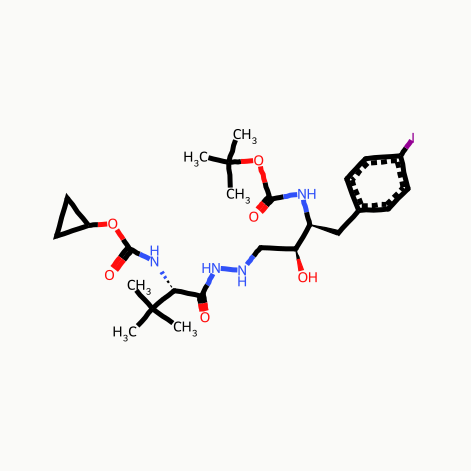 CC(C)(C)OC(=O)N[C@@H](Cc1ccc(I)cc1)[C@@H](O)CNNC(=O)[C@@H](NC(=O)OC1CC1)C(C)(C)C